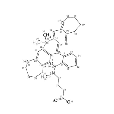 CN(CCCC(=O)O)C(=O)c1ccccc1C1=c2cc3c(cc2[Si](C)(C)c2cc4c(cc21)CCCCN4)=NCCCC3